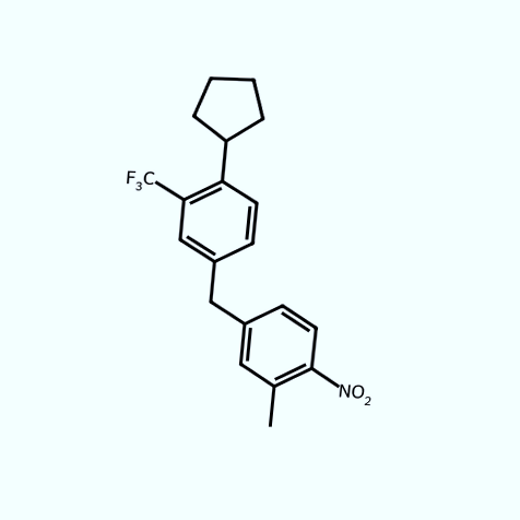 Cc1cc(Cc2ccc(C3CCCC3)c(C(F)(F)F)c2)ccc1[N+](=O)[O-]